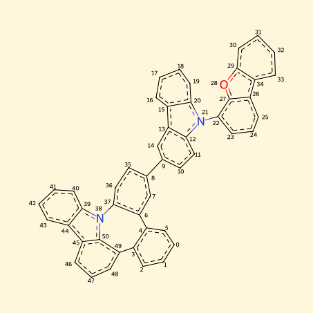 c1ccc2c(c1)-c1cc(-c3ccc4c(c3)c3ccccc3n4-c3cccc4c3oc3ccccc34)ccc1-n1c3ccccc3c3cccc-2c31